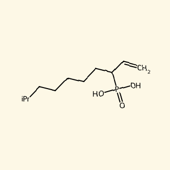 C=CC(CCCCCC(C)C)P(=O)(O)O